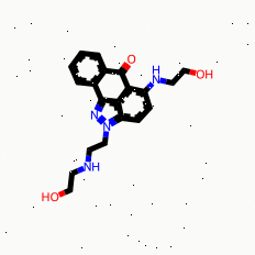 O=C1c2ccccc2-c2nn(CCNCCO)c3ccc(NCCO)c1c23